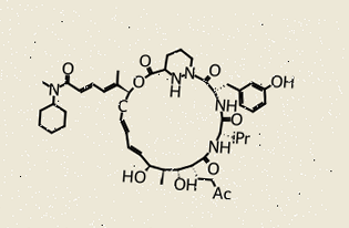 CC(=O)CC[C@H]1C(=O)N[C@@H](C(C)C)C(=O)N[C@@H](Cc2cccc(O)c2)C(=O)N2CCCC(N2)C(=O)O[C@H](/C(C)=C/C=C/C(=O)N(C)C2CCCCC2)C/C=C/C=C/[C@H](O)[C@H](C)[C@H]1O